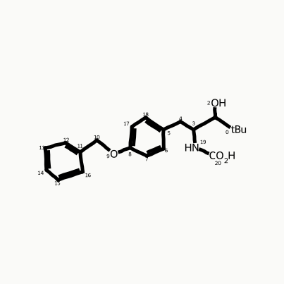 CC(C)(C)C(O)C(Cc1ccc(OCc2ccccc2)cc1)NC(=O)O